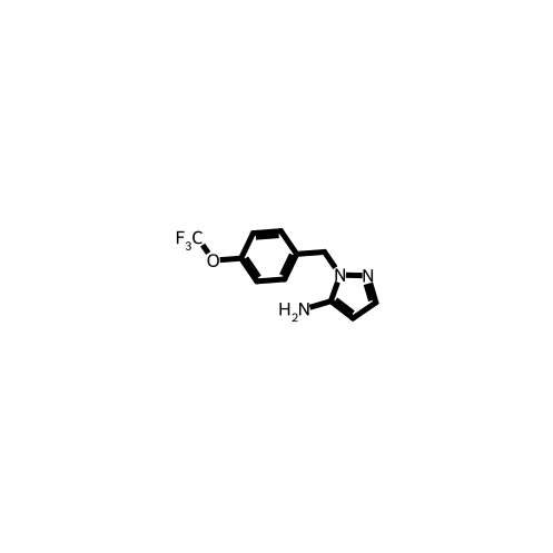 Nc1ccnn1Cc1ccc(OC(F)(F)F)cc1